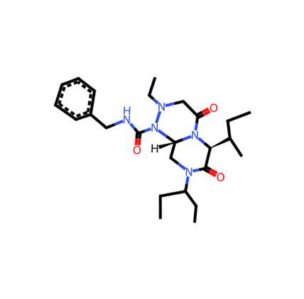 CCC(C)[C@H]1C(=O)N(C(CC)CC)C[C@H]2N1C(=O)CN(CC)N2C(=O)NCc1ccccc1